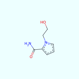 NC(=O)c1cccn1CCO